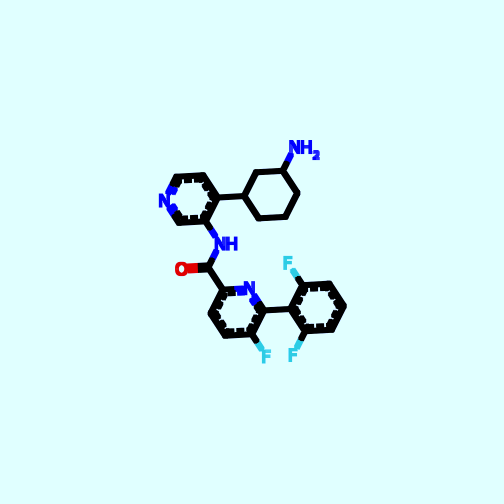 NC1CCCC(c2ccncc2NC(=O)c2ccc(F)c(-c3c(F)cccc3F)n2)C1